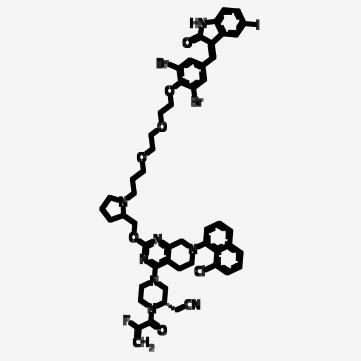 C=C(F)C(=O)N1CCN(c2nc(OCC3CCCN3CCCOCCOCCOc3c(Br)cc(/C=C4\C(=O)Nc5ccc(I)cc54)cc3Br)nc3c2CCN(c2cccc4cccc(Cl)c24)C3)C[C@@H]1CC#N